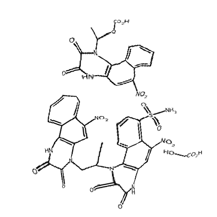 CC(Cn1c(=O)c(=O)[nH]c2c3ccccc3c([N+](=O)[O-])cc21)n1c(=O)c(=O)[nH]c2cc([N+](=O)[O-])c3c(S(N)(=O)=O)cccc3c21.CC(OC(=O)O)n1c(=O)c(=O)[nH]c2cc([N+](=O)[O-])c3ccccc3c21.O=C(O)O